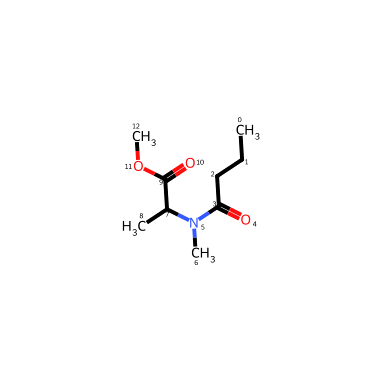 CCCC(=O)N(C)C(C)C(=O)OC